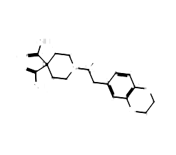 NC(=O)C1(C(N)=O)CCN([C@@H](O)Cc2ccc3c(c2)OCCO3)CC1